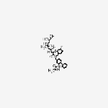 CNC(=O)Nc1cc(CN2Cc3ccc(F)cc3S[C@@H](NC(=O)CC(C)(C)NC[C@H](O)CO)C2=O)ccc1-c1ccccc1